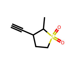 C#CC1CCS(=O)(=O)C1C